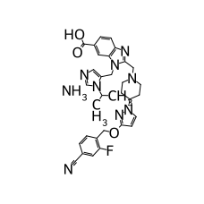 CC(C)n1cncc1Cn1c(CN2CCC(n3ccc(OCc4ccc(C#N)cc4F)n3)CC2)nc2ccc(C(=O)O)cc21.N